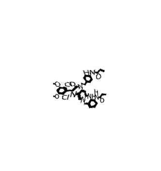 C=CC(=O)Nc1ccc(CCn2c(=O)c(-c3c(Cl)c(OC)cc(OC)c3Cl)nc3cnc(Nc4c(C)cccc4NC(=O)C=C)cc32)cc1